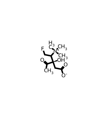 CC(=O)[C@@](O)(CC(=O)[O-])C(CF)[N+](C)(C)C